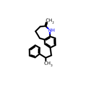 C=C1CCCc2cc(CC(C)c3ccccc3)ccc2N1